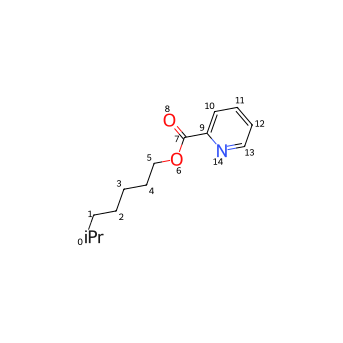 CC(C)CCCCCOC(=O)c1ccccn1